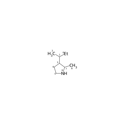 CCC(C)C1CCNC1C